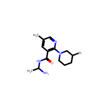 CCC1CCCN(c2ncc(C)cc2C(=O)NC(C)N)C1